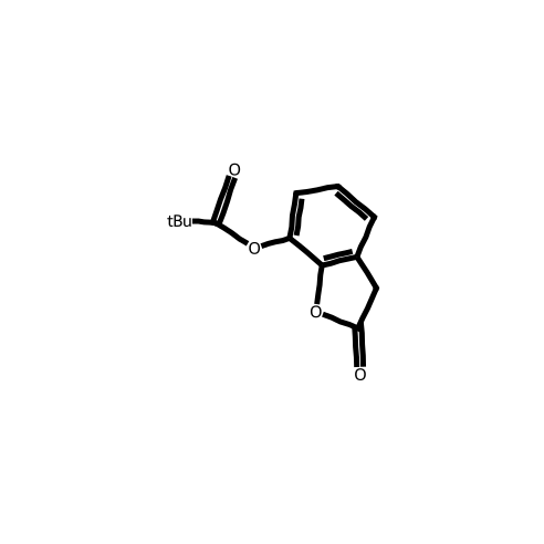 CC(C)(C)C(=O)Oc1cccc2c1OC(=O)C2